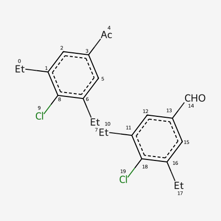 CCc1cc(C(C)=O)cc(CC)c1Cl.CCc1cc(C=O)cc(CC)c1Cl